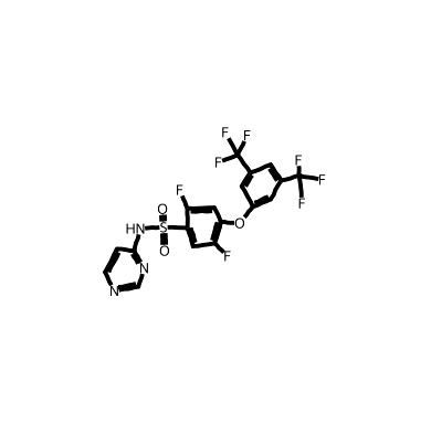 O=S(=O)(Nc1ccncn1)c1cc(F)c(Oc2cc(C(F)(F)F)cc(C(F)(F)F)c2)cc1F